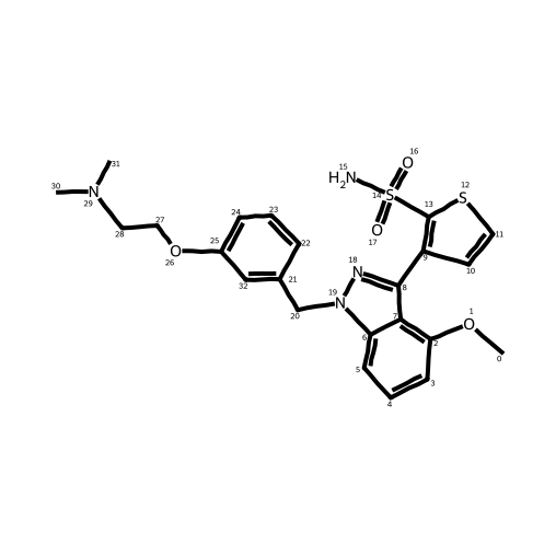 COc1cccc2c1c(-c1ccsc1S(N)(=O)=O)nn2Cc1cccc(OCCN(C)C)c1